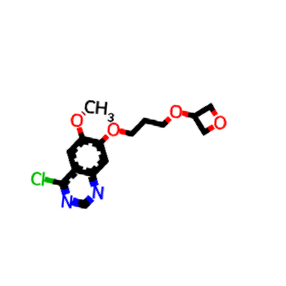 COc1cc2c(Cl)ncnc2cc1OCCCOC1COC1